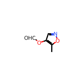 Cc1oncc1OC=O